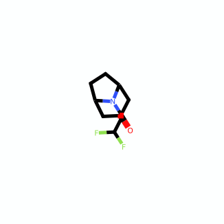 O=C1CC2CCC(C1)N2CC(F)F